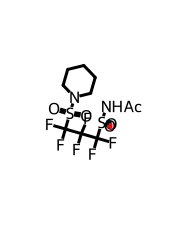 CC(=O)NS(=O)(=O)C(F)(F)C(F)(F)C(F)(F)S(=O)(=O)N1CCCCC1